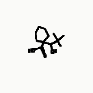 CC(C)(C)C(O)C1(C(=O)O)CCCCC1